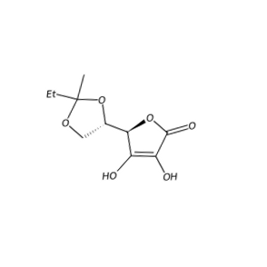 CCC1(C)OC[C@@H]([C@H]2OC(=O)C(O)=C2O)O1